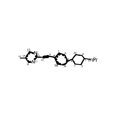 CCCC1CCC(c2ccc(C#Cc3ncc(C)cn3)cc2)CC1